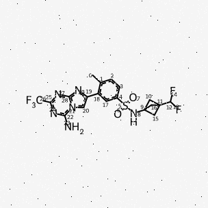 Cc1ccc(S(=O)(=O)NC23CC(C(F)F)(C2)C3)cc1-c1cn2c(N)nc(C(F)(F)F)nc2n1